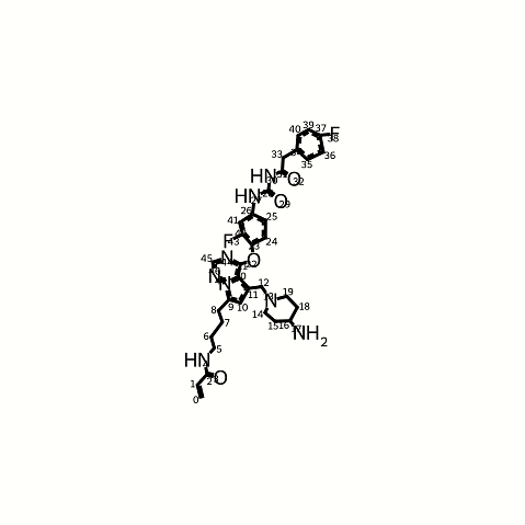 C=CC(=O)NCCCCc1cc(CN2CCC(N)CC2)c2c(Oc3ccc(NC(=O)NC(=O)Cc4ccc(F)cc4)cc3F)ncnn12